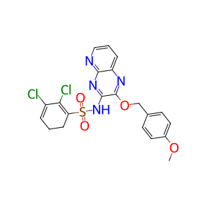 COc1ccc(COc2nc3cccnc3nc2NS(=O)(=O)C2=C(Cl)C(Cl)=CCC2)cc1